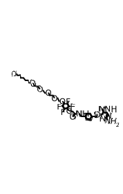 Nc1nc(OCc2ccc(CNC(=O)COc3c(F)c(F)c(OCCOCCOCCOCCOCCCCCCCCl)c(F)c3F)cc2)c2nc[nH]c2n1